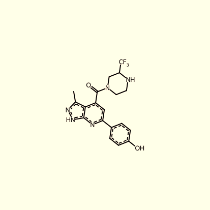 Cc1n[nH]c2nc(-c3ccc(O)cc3)cc(C(=O)N3CCNC(C(F)(F)F)C3)c12